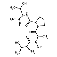 CCCN(C(=O)[C@@H](N)[C@@H](C)O)C(C)C(=O)N1CCC[C@H]1C(=O)N[C@H](C(N)=O)[C@@H](C)O